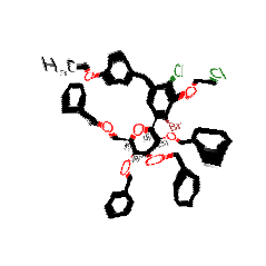 CCOc1ccc(Cc2cc([C@@H]3O[C@H](COCc4ccccc4)[C@@H](OCc4ccccc4)[C@H](OCc4ccccc4)[C@H]3OCc3ccccc3)c(Br)c(OCCCl)c2Cl)cc1